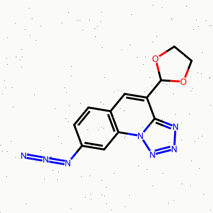 [N-]=[N+]=Nc1ccc2cc(C3OCCO3)c3nnnn3c2c1